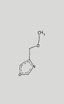 COCc1cocn1